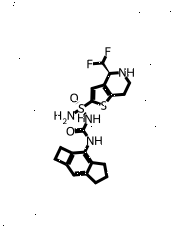 N[SH](=O)(NC(=O)Nc1c2c(cc3c1CC3)CCC2)c1cc2c(s1)CCN[C@@H]2C(F)F